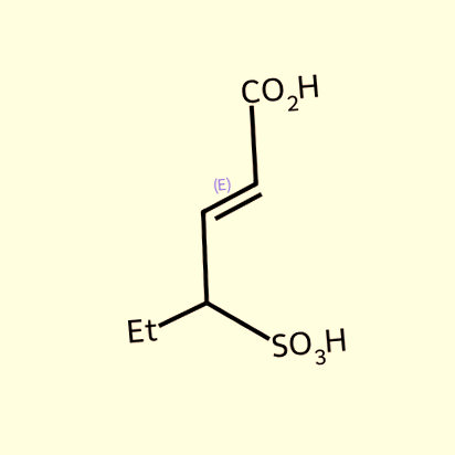 CCC(/C=C/C(=O)O)S(=O)(=O)O